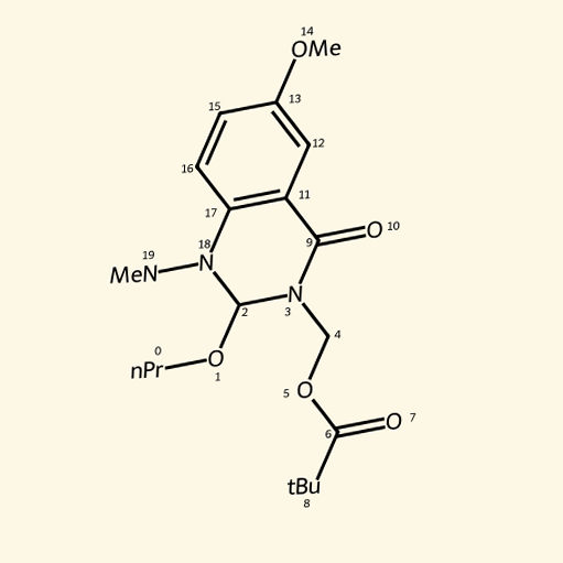 CCCOC1N(COC(=O)C(C)(C)C)C(=O)c2cc(OC)ccc2N1NC